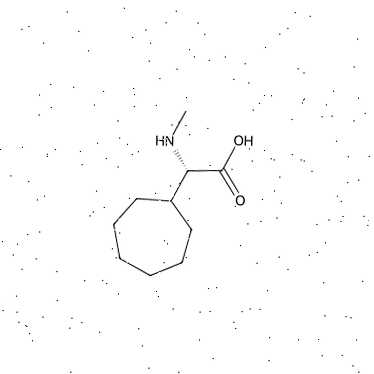 CN[C@H](C(=O)O)C1CCCCCC1